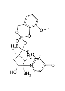 BC(B)(OP1(=O)OCc2cccc(OC)c2O1)[C@]1(F)C[C@@H](O)[C@](B)(n2ccc(=O)[nH]c2=O)O1